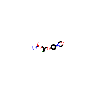 NC(=O)OCC(=CF)COc1ccc(N2CCOCC2)cc1